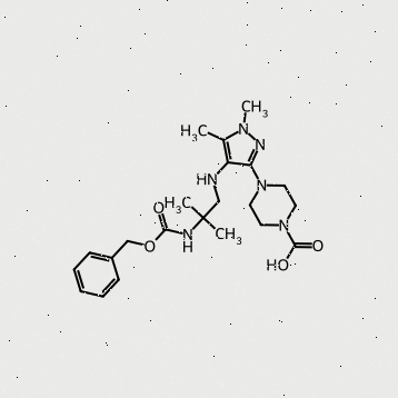 Cc1c(NCC(C)(C)NC(=O)OCc2ccccc2)c(N2CCN(C(=O)O)CC2)nn1C